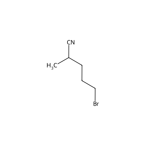 CC(C#N)CCCBr